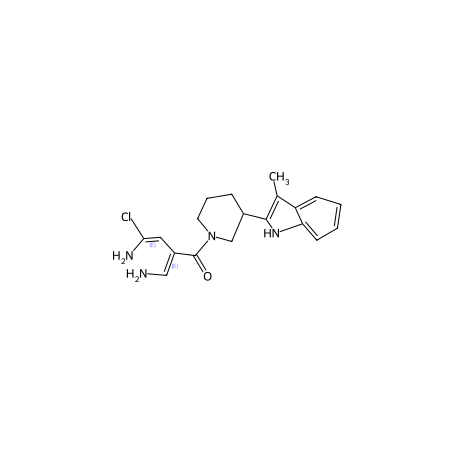 Cc1c(C2CCCN(C(=O)C(/C=C(\N)Cl)=C/N)C2)[nH]c2ccccc12